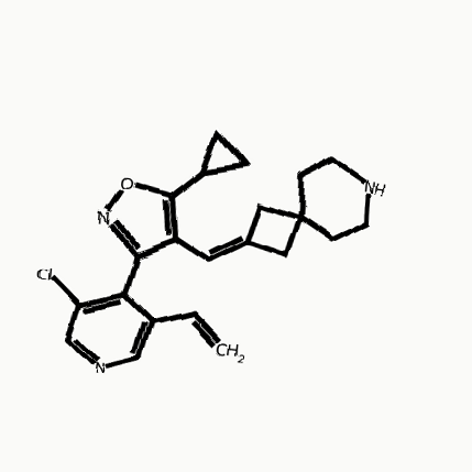 C=Cc1cncc(Cl)c1-c1noc(C2CC2)c1C=C1CC2(CCNCC2)C1